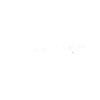 CCCCCC=CCC=CCCCCCCCCC(CCCO)OC(=O)O